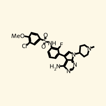 COc1ccc(S(=O)(=O)Nc2cccc(-c3cn(C4CCN(C)CC4)c4ncnc(N)c34)c2F)cc1Cl